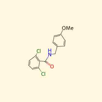 COc1ccc(CNC(=O)c2c(Cl)cccc2Cl)cc1